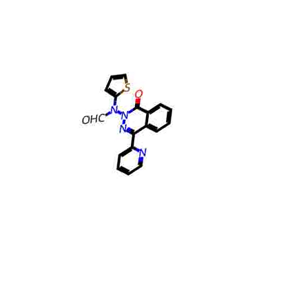 O=CN(c1cccs1)n1nc(-c2ccccn2)c2ccccc2c1=O